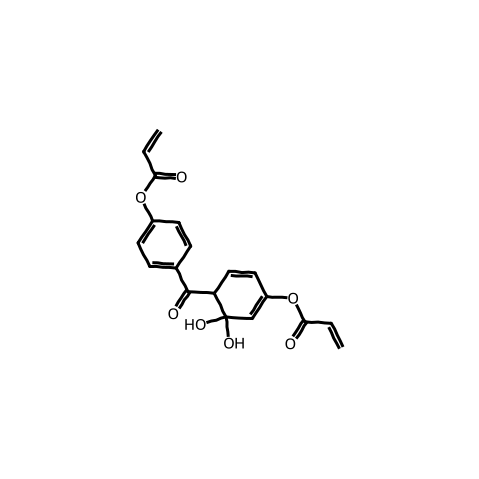 C=CC(=O)OC1=CC(O)(O)C(C(=O)c2ccc(OC(=O)C=C)cc2)C=C1